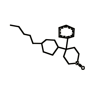 CCCCCC1CCC(C2(c3ccccc3)CC[Si](=O)CC2)CC1